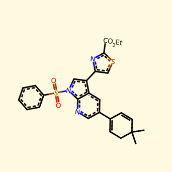 CCOC(=O)c1nc(-c2cn(S(=O)(=O)c3ccccc3)c3ncc(C4=CCC(C)(C)C=C4)cc23)cs1